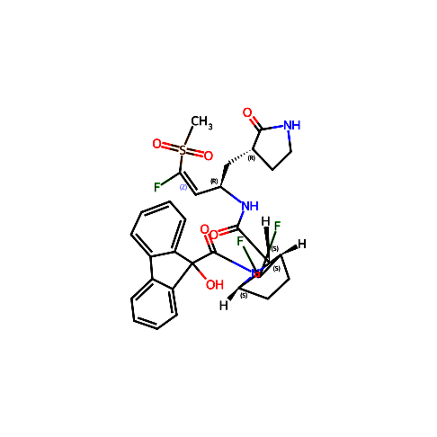 CS(=O)(=O)/C(F)=C\[C@@H](C[C@H]1CCNC1=O)NC(=O)[C@@H]1[C@@H]2CC[C@@H](CC2(F)F)N1C(=O)C1(O)c2ccccc2-c2ccccc21